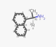 [2H][C@](C)(N)c1cccc2ccccc12